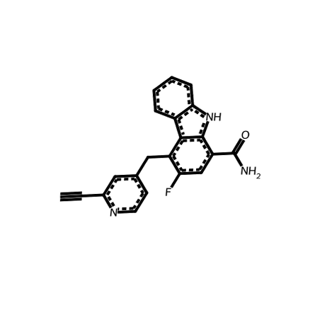 C#Cc1cc(Cc2c(F)cc(C(N)=O)c3[nH]c4ccccc4c23)ccn1